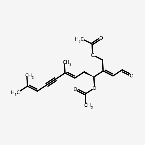 CC(=O)OC/C(=C\C=O)[C@H](C/C=C(\C)C#CC=C(C)C)OC(C)=O